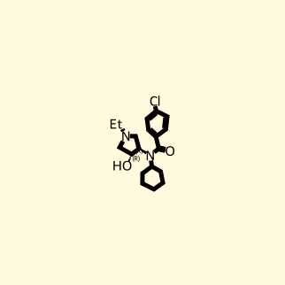 CCN1C[C@@H](O)[C@H](N(C(=O)c2ccc(Cl)cc2)C2CCCCC2)C1